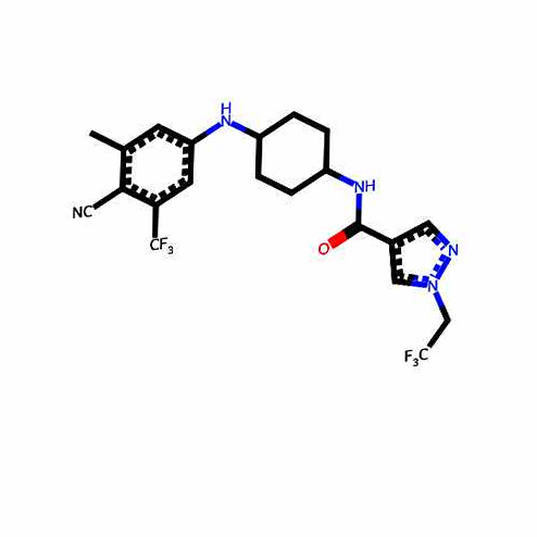 Cc1cc(NC2CCC(NC(=O)c3cnn(CC(F)(F)F)c3)CC2)cc(C(F)(F)F)c1C#N